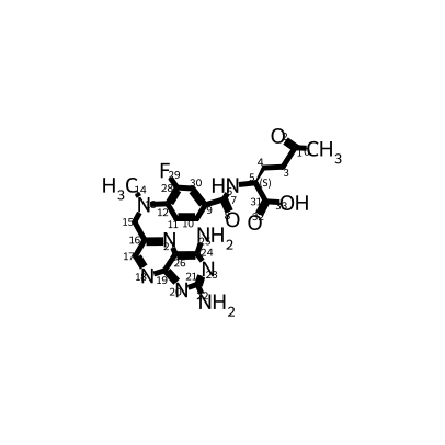 CC(=O)CC[C@H](NC(=O)c1ccc(N(C)Cc2cnc3nc(N)nc(N)c3n2)c(F)c1)C(=O)O